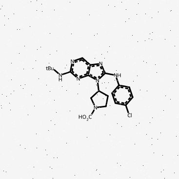 CC(C)(C)Nc1ncc2nc(Nc3ccc(Cl)cc3)n(C3CCN(C(=O)O)C3)c2n1